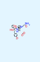 COc1ccc(CCC(O)(C(=O)N[C@H]2C[N+]3(CCC(N)=O)CCC2CC3)c2ccco2)cc1.O=C[O-]